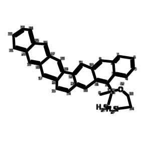 C[Si]1(c2c3ccccc3cc3cc4c(ccc5cc6cc7ccccc7cc6cc54)cc23)OCC[SiH2][SiH2]1